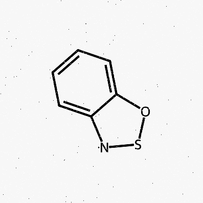 c1ccc2c(c1)[N]SO2